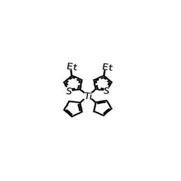 CCc1cs[c]([Ti]([C]2=CC=CC2)([C]2=CC=CC2)[c]2cc(CC)cs2)c1